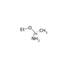 CCO[C@H](C)N